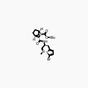 C/N=C/[C@H](Cc1ccc(Br)s1)NC(=O)[C@@H]1[C@H]2CC[C@H](C2)N1C(=O)OC(C)(C)C